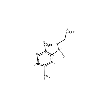 CCOC(=O)CCN(C)c1nc(SC)ncc1C(=O)OCC